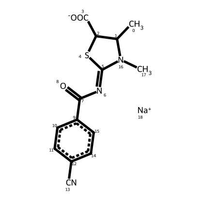 CC1C(C(=O)[O-])SC(=NC(=O)c2ccc(C#N)cc2)N1C.[Na+]